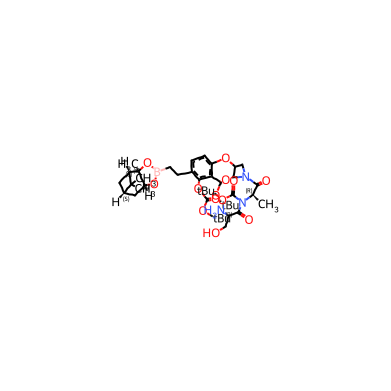 C[C@H](C(=O)N1CC(Oc2ccc(CCB3O[C@@H]4C[C@@H]5C[C@@H](C5(C)C)[C@]4(C)O3)c(OC(=O)OC(C)(C)C)c2C(=O)OC(C)(C)C)C1)N(C(=O)OC(C)(C)C)C(=O)[C@H](N)CO